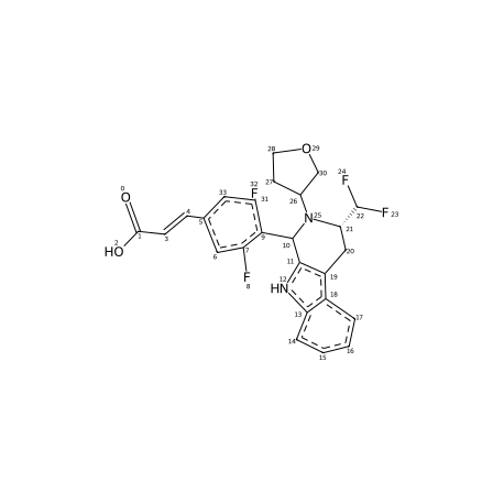 O=C(O)C=Cc1cc(F)c(C2c3[nH]c4ccccc4c3C[C@@H](C(F)F)N2C2CCOC2)c(F)c1